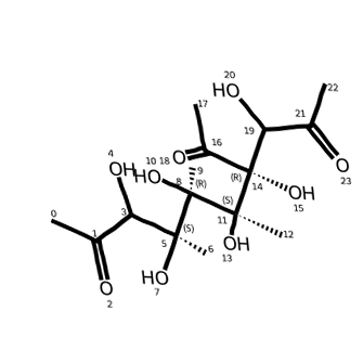 CC(=O)C(O)[C@](C)(O)[C@@](C)(O)[C@](C)(O)[C@@](O)(C(C)=O)C(O)C(C)=O